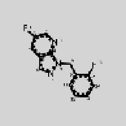 Fc1cnc2c(cnn2Cc2ccccc2F)c1